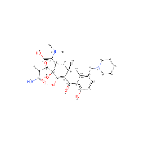 CC(C(N)=O)C(=O)[C@@]1(O)C(O)=C2C(=O)c3c(O)ccc(CN4CCCCC4)c3C[C@H]2C[C@H]1[C@@H](CO)N(C)C